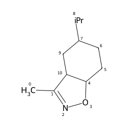 CC1=NOC2CCC(C(C)C)CC12